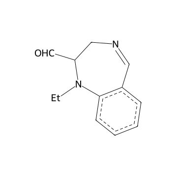 CCN1c2ccccc2C=NCC1C=O